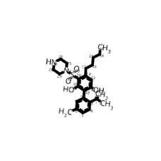 C=C(C)c1ccc(C)cc1-c1c(O)cc(CCCCC)c(S(=O)(=O)N2CCNCC2)c1O